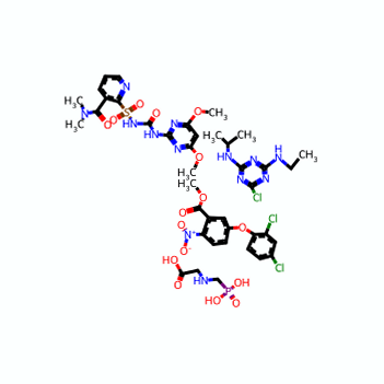 CCNc1nc(Cl)nc(NC(C)C)n1.COC(=O)c1cc(Oc2ccc(Cl)cc2Cl)ccc1[N+](=O)[O-].COc1cc(OC)nc(NC(=O)NS(=O)(=O)c2ncccc2C(=O)N(C)C)n1.O=C(O)CNCP(=O)(O)O